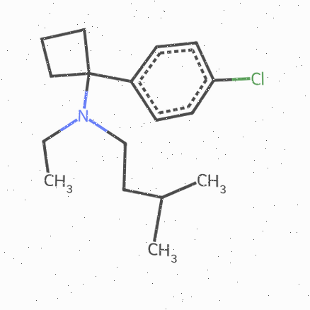 CCN(CCC(C)C)C1(c2ccc(Cl)cc2)CCC1